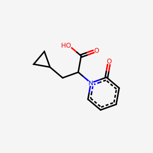 O=C(O)C(CC1CC1)n1ccccc1=O